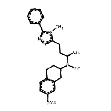 CCCN(C(C)CCc1nnc(-c2ccccc2)n1C)C1CCc2ccc(OC)cc2C1